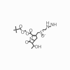 CC(O)C1C(=O)N2C(C(=O)OCOC(=O)C(C)(C)C)=C(C[S+]([O-])CCNC=N)CC12